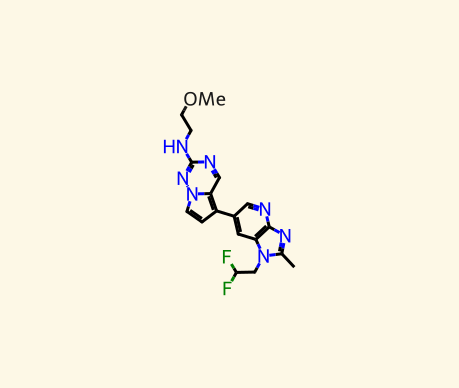 COCCNc1ncc2c(-c3cnc4nc(C)n(CC(F)F)c4c3)ccn2n1